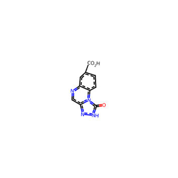 O=C(O)c1ccc2c(c1)ncc1n[nH]c(=O)n12